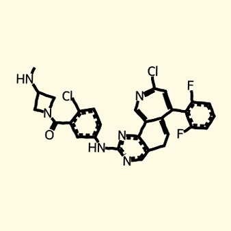 CNC1CN(C(=O)c2cc(Nc3ncc4c(n3)C3=CN=C(Cl)C=C(c5c(F)cccc5F)C3=CC4)ccc2Cl)C1